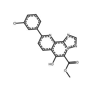 COC(=O)c1c(O)c2ccc(-c3cccc(Cl)c3)nc2c2ncnn12